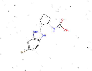 O=C(O)N[C@H]1CCC[C@H]1c1nc2cc(Br)ccc2[nH]1